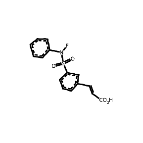 O=C(O)C=Cc1cccc(S(=O)(=O)N(F)c2ccccc2)c1